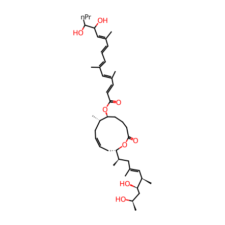 CCCC(O)C(O)C=C(C)C=CC=C(C)C=C(C)C=CC(=O)O[C@H]1CCCC(=O)O[C@H]([C@H](C)C/C(C)=C/[C@@H](C)[C@H](O)C[C@@H](C)O)CC=CC[C@@H]1C